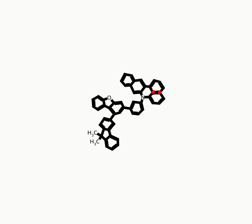 CC1(C)c2ccccc2-c2cc(-c3cc(-c4cccc(N(c5ccccc5)c5cc6ccccc6cc5-c5ccccc5)c4)cc4oc5ccccc5c34)ccc21